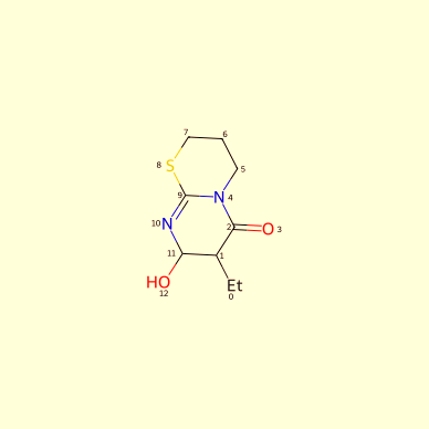 CCC1C(=O)N2CCCSC2=NC1O